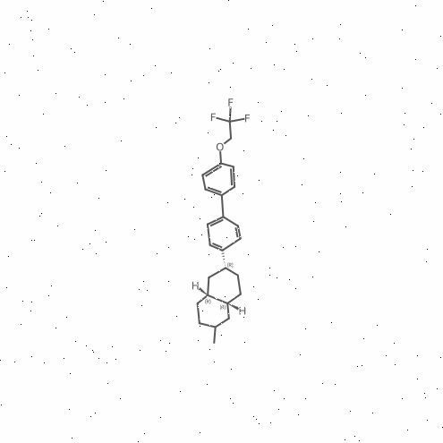 CC1CC[C@@H]2C[C@H](c3ccc(-c4ccc(OCC(F)(F)F)cc4)cc3)CC[C@@H]2C1